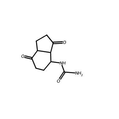 NC(=O)NC1CCC(=O)C2CCC(=O)C12